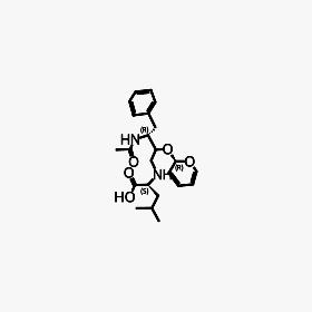 CC(=O)N[C@H](Cc1ccccc1)C(CN[C@@H](CC(C)C)C(=O)O)O[C@@H]1C=CC=CO1